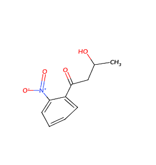 CC(O)CC(=O)c1ccccc1[N+](=O)[O-]